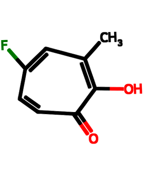 Cc1cc(F)ccc(=O)c1O